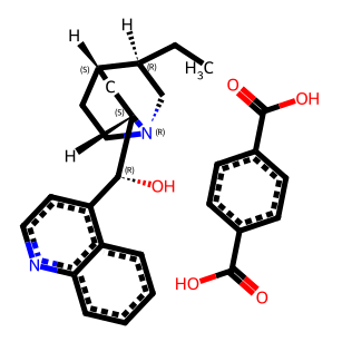 CC[C@H]1C[N@]2CC[C@H]1C[C@H]2[C@H](O)c1ccnc2ccccc12.O=C(O)c1ccc(C(=O)O)cc1